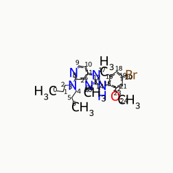 CCCN(CCC)c1nccc2nc(Nc3c(C)cc(Br)cc3OC)n(C)c12